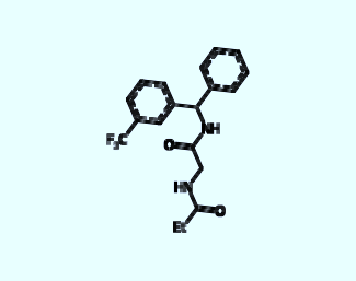 CCC(=O)NCC(=O)NC(c1ccccc1)c1cccc(C(F)(F)F)c1